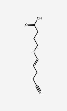 N#CCCC=CSCCCC(=O)O